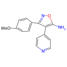 COc1ccc(-c2noc(N)c2-c2ccncc2)cc1